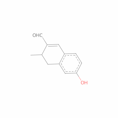 CC1Cc2cc(O)ccc2C=C1C=O